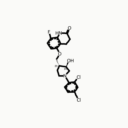 O=C1CCc2c(OC[C@H]3CCN(c4ccc(Cl)cc4Cl)C[C@@H]3O)ccc(F)c2N1